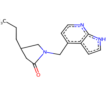 CCCC1CC(=O)N(Cc2ccnc3[nH]ccc23)C1